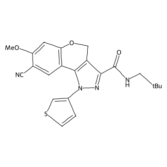 COc1cc2c(cc1C#N)-c1c(c(C(=O)NCC(C)(C)C)nn1-c1ccsc1)CO2